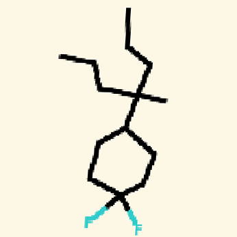 CCCC(C)(CCC)C1CCC(F)(F)CC1